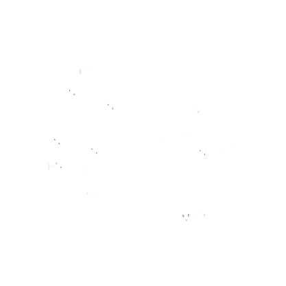 COCCN(C)C(=O)c1ccc2c(c1)nc(NC(C)C)c1n[nH]c(=O)n12